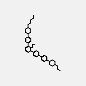 CCCCCC1CCC(c2ccc(-c3cccc(-c4ccc(-c5ccc(C6CCC(CCC)CC6)cc5)cc4)c3F)cc2)CC1